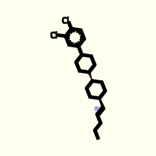 CCC/C=C/[C@H]1CC[C@H](C2CCC(c3ccc(Cl)c(Cl)c3)CC2)CC1